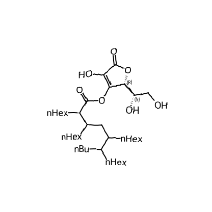 CCCCCCC(CCCC)C(CCCCCC)CC(CCCCCC)C(CCCCCC)C(=O)OC1=C(O)C(=O)O[C@@H]1[C@@H](O)CO